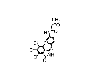 CC(=O)CC(=O)Nc1ccc(/N=C2/NC(=O)c3c(Cl)c(Cl)c(Cl)c(Cl)c32)cc1